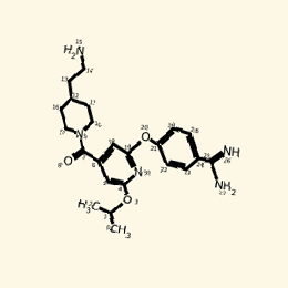 CC(C)Oc1cc(C(=O)N2CCC(CCN)CC2)cc(Oc2ccc(C(=N)N)cc2)n1